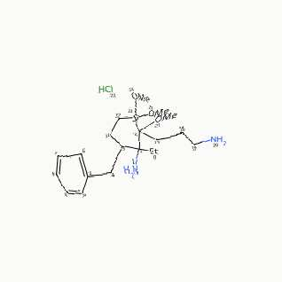 CCC1(N)C(Cc2ccccc2)CC[Si](OC)(OC)C1(CCCN)OC.Cl